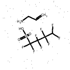 C=CCN.O=S(=O)(O)C(F)(F)C(F)(F)C(F)(F)C(F)F